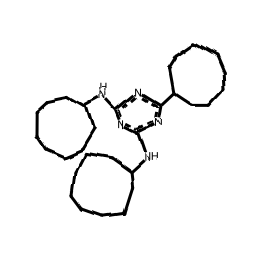 C1CCCCC(Nc2nc(NC3CCCCCCCC3)nc(C3CCCCCCCC3)n2)CCC1